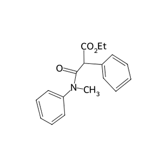 CCOC(=O)C(C(=O)N(C)c1ccccc1)c1ccccc1